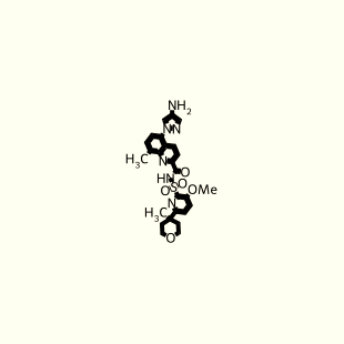 COc1ccc(C2(C)CCOCC2)nc1S(=O)(=O)NC(=O)c1ccc2c(-n3cc(N)cn3)ccc(C)c2n1